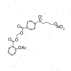 CC(=O)Oc1ccccc1C(=O)OCOC(=O)c1ccc([S+]([O-])CCCO[N+](=O)[O-])cc1